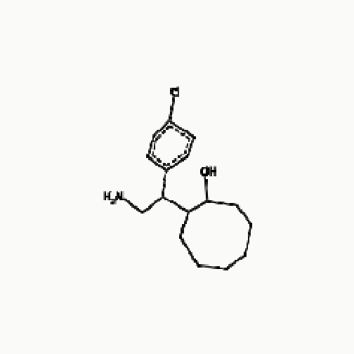 NCC(c1ccc(Cl)cc1)C1CCCCCCC1O